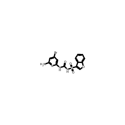 Nc1cc(Br)cc(NC(=O)NS(=O)(=O)c2coc3ccccc23)n1